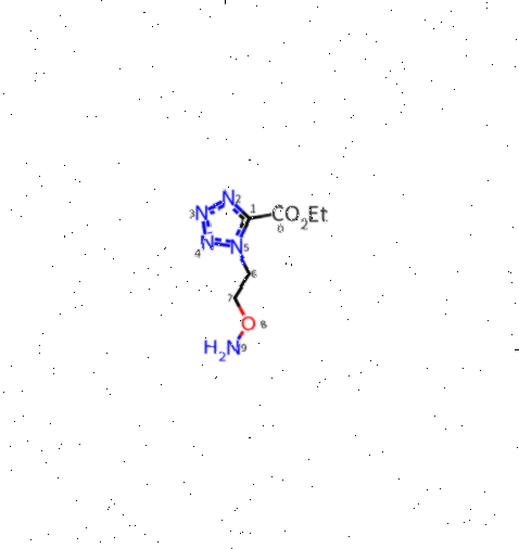 CCOC(=O)c1nnnn1CCON